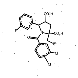 CC(C)CC1(C(=O)O)CC(C(=O)O)C(c2cccc(F)c2)N1C(=O)c1ccc(Cl)c(Cl)c1